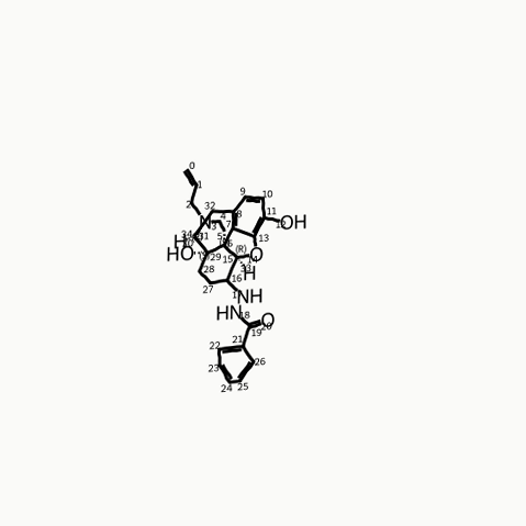 C=CCN1CC[C@]23c4c5ccc(O)c4O[C@H]2C(NNC(=O)c2ccccc2)CC[C@@]3(O)[C@H]1C5